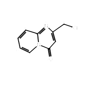 O=c1cc(CCl)nc2ccccn12